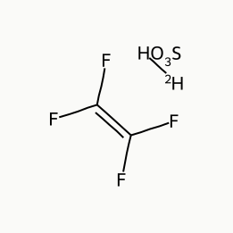 FC(F)=C(F)F.[2H]S(=O)(=O)O